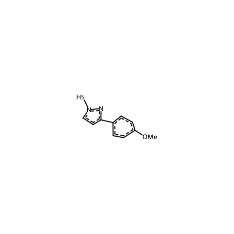 COc1ccc(-c2ccn(S)n2)cc1